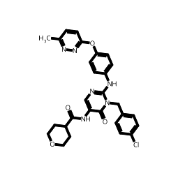 Cc1ccc(Oc2ccc(Nc3ncc(NC(=O)C4CCOCC4)c(=O)n3Cc3ccc(Cl)cc3)cc2)nn1